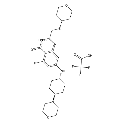 O=C(O)C(F)(F)F.O=c1[nH]c(CSC2CCOCC2)nc2cc(N[C@H]3CC[C@H](N4CCOCC4)CC3)cc(F)c12